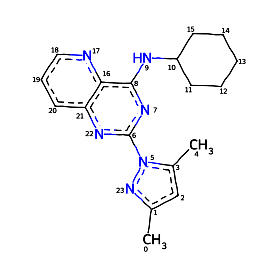 Cc1cc(C)n(-c2nc(NC3CCCCC3)c3ncccc3n2)n1